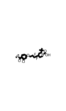 CN(C)C(=O)c1ccc(OCCCC(F)(F)C2CCN(C(=O)O)C(C(C)(C)C)C2)cc1Cl